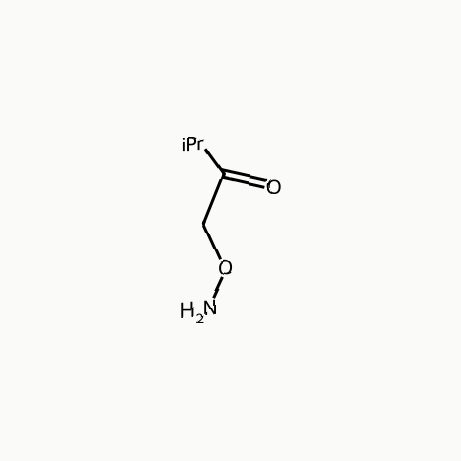 CC(C)C(=O)CON